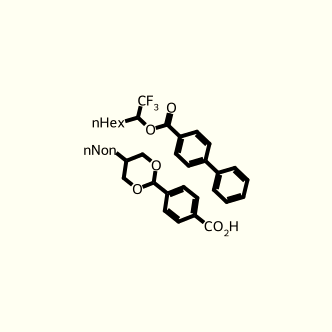 CCCCCCC(OC(=O)c1ccc(-c2ccccc2)cc1)C(F)(F)F.CCCCCCCCCC1COC(c2ccc(C(=O)O)cc2)OC1